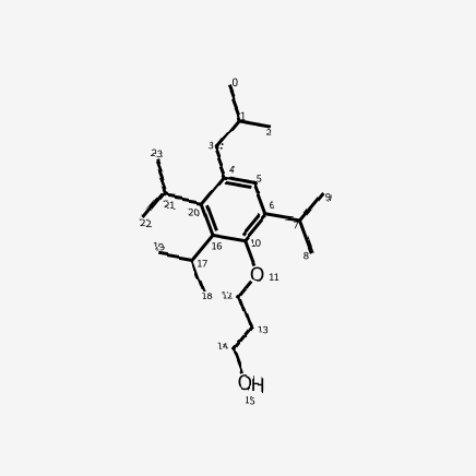 CC(C)[C]c1cc(C(C)C)c(OCCCO)c(C(C)C)c1C(C)C